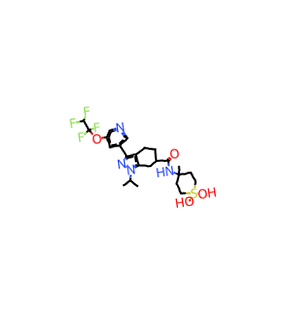 CC(C)n1nc(-c2cncc(OC(F)(F)C(F)F)c2)c2c1CC(C(=O)NC1(C)CCS(O)(O)CC1)CC2